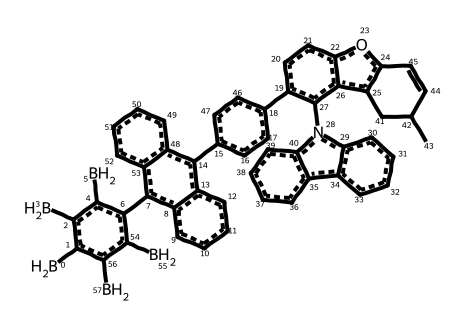 Bc1c(B)c(B)c(-c2c3ccccc3c(-c3ccc(-c4ccc5oc6c(c5c4-n4c5ccccc5c5ccccc54)CC(C)C=C6)cc3)c3ccccc23)c(B)c1B